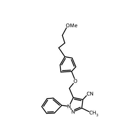 COCCCc1ccc(OCc2c(C#N)c(C)nn2-c2ccccc2)cc1